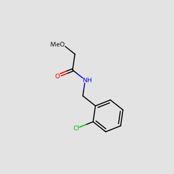 COCC(=O)NCc1ccccc1Cl